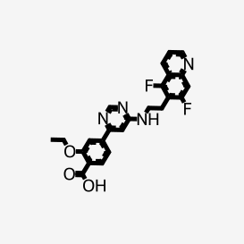 CCOc1cc(-c2cc(NCCc3c(F)cc4ncccc4c3F)ncn2)ccc1C(=O)O